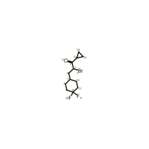 O=C(C(Br)CC1CCC(F)(F)CC1)C1CC1